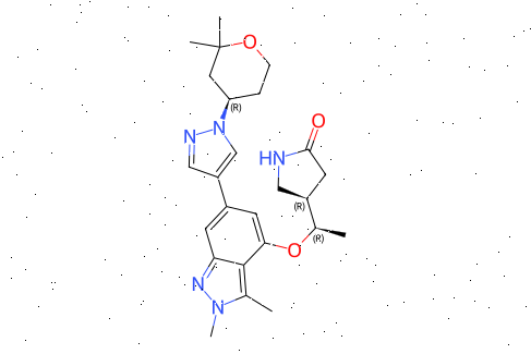 Cc1c2c(O[C@H](C)[C@H]3CNC(=O)C3)cc(-c3cnn([C@@H]4CCOC(C)(C)C4)c3)cc2nn1C